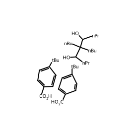 CC(C)(C)c1ccc(C(=O)O)cc1.CC(C)(C)c1ccc(C(=O)O)cc1.CCCCC(CCCC)(C(O)CCC)C(O)CCC